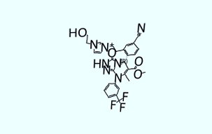 COC(=O)C1=C(C)N(c2cccc(C(F)(F)F)c2)c2n[nH]c(=O)n2[C@@H]1c1ccc(C#N)cc1CC[n+]1ccn(CCO)c1